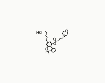 CCCCCc1cc(OC(=O)CCCN2CCOCC2)c2c(c1)OC(C)(C)C1=C2CCC1.Cl